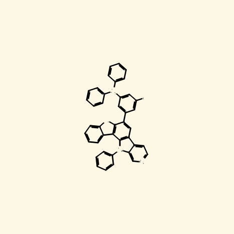 Clc1cc(-c2cc3c4ccncc4n(-c4ccccc4)c3c3c2sc2ccccc23)cc(N(c2ccccc2)c2ccccc2)c1